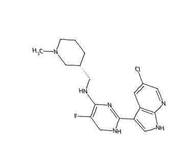 CN1CCC[C@H](CNC2=C(F)CNC(c3c[nH]c4ncc(Cl)cc34)=N2)C1